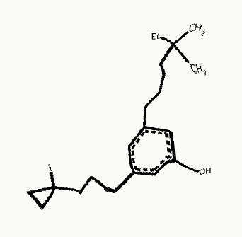 CCC(C)(C)CCCc1cc(O)cc(CCCC2(I)CC2)c1